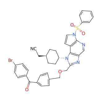 N#CC[C@H]1CC[C@H](n2c(COCc3ccc(C(=O)c4ccc(Br)cc4)cc3)nc3cnc4c(ccn4S(=O)(=O)c4ccccc4)c32)CC1